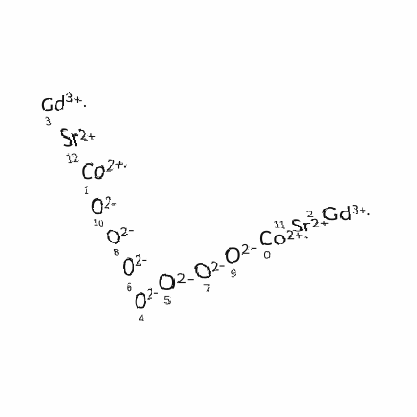 [Co+2].[Co+2].[Gd+3].[Gd+3].[O-2].[O-2].[O-2].[O-2].[O-2].[O-2].[O-2].[Sr+2].[Sr+2]